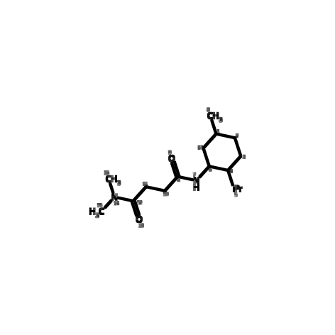 CC1CCC(C(C)C)C(NC(=O)CCC(=O)N(C)C)C1